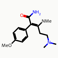 CNC(CCN(C)C)=C(C(N)=O)c1ccc(OC)cc1